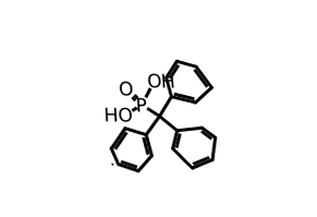 O=P(O)(O)C(c1cc[c]cc1)(c1ccccc1)c1ccccc1